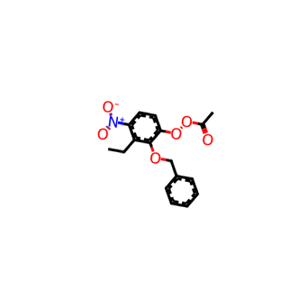 CCc1c([N+](=O)[O-])ccc(OOC(C)=O)c1OCc1ccccc1